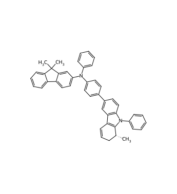 C[C@@H]1CC=Cc2c1n(-c1ccccc1)c1ccc(-c3ccc(N(c4ccccc4)c4ccc5c(c4)C(C)(C)c4ccccc4-5)cc3)cc21